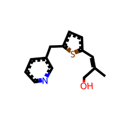 CC(=Cc1ccc(Cc2cccnc2)s1)CO